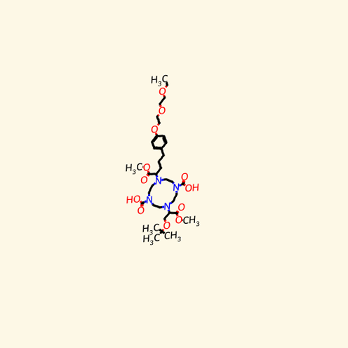 CCOCCOCCOc1ccc(CCCC(C(=O)OC)N2CCN(C(=O)O)CCN(C(COC(C)(C)C)C(=O)OC)CCN(C(=O)O)CC2)cc1